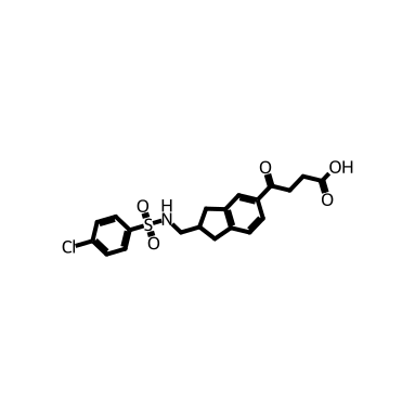 O=C(O)CCC(=O)c1ccc2c(c1)CC(CNS(=O)(=O)c1ccc(Cl)cc1)C2